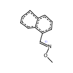 CO/N=C/c1cccc2ccccc12